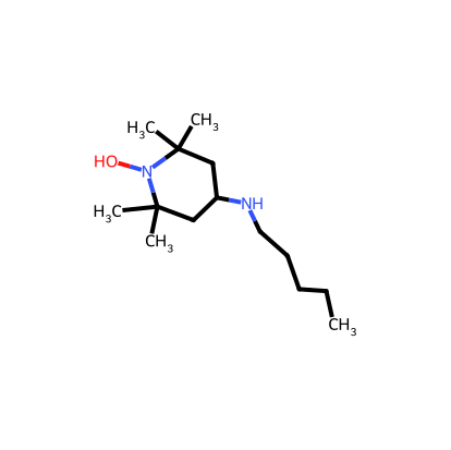 CCCCCNC1CC(C)(C)N(O)C(C)(C)C1